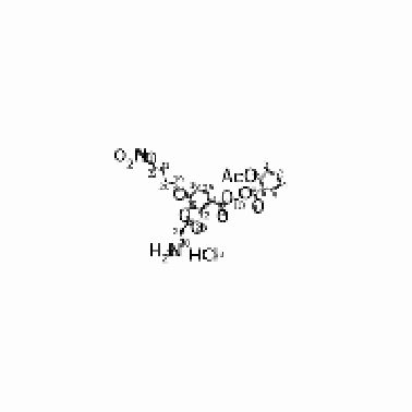 CC(=O)Oc1ccccc1C(=O)OCOC(=O)c1ccc(OCCCCO[N+](=O)[O-])c(OC(=O)CCN)c1.Cl